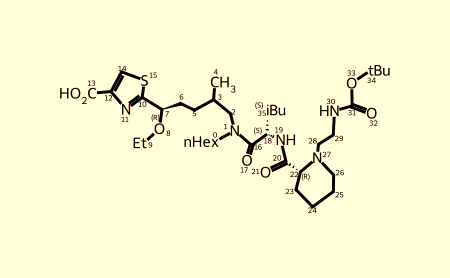 CCCCCCN(CC(C)CC[C@@H](OCC)c1nc(C(=O)O)cs1)C(=O)[C@@H](NC(=O)[C@H]1CCCCN1CCNC(=O)OC(C)(C)C)[C@@H](C)CC